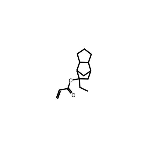 C=CC(=O)OC1(CC)CC2CC1C1CCCC21